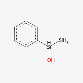 O[SiH]([SiH3])c1ccccc1